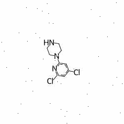 Clc1cc(Cl)nc(N2CCNCC2)c1